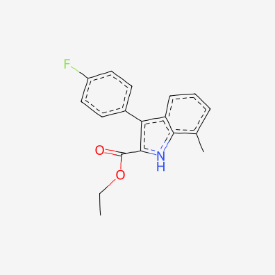 CCOC(=O)c1[nH]c2c(C)cccc2c1-c1ccc(F)cc1